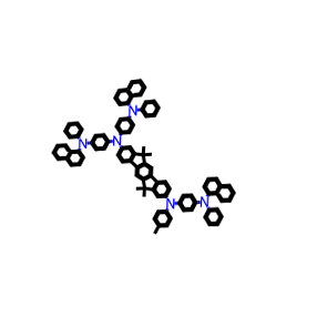 Cc1ccc(N(c2ccc(N(c3ccccc3)c3cccc4ccccc34)cc2)c2ccc3c(c2)C(C)(C)c2cc4c(cc2-3)C(C)(C)c2cc(N(c3ccc(N(c5ccccc5)c5cccc6ccccc56)cc3)c3ccc(N(c5ccccc5)c5cccc6ccccc56)cc3)ccc2-4)cc1